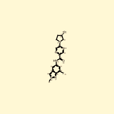 CC[C@@H]1CCN(c2cnc(C(=O)Nc3cc(F)c4nn(C)cc4c3)cn2)C1